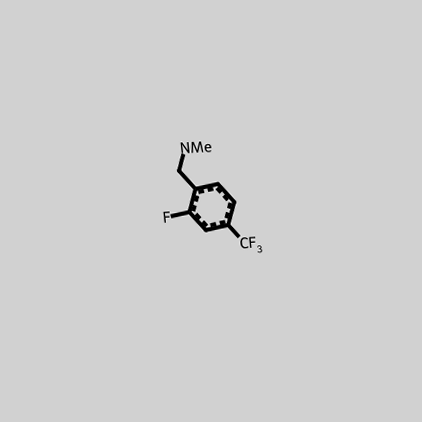 CNCc1ccc(C(F)(F)F)cc1F